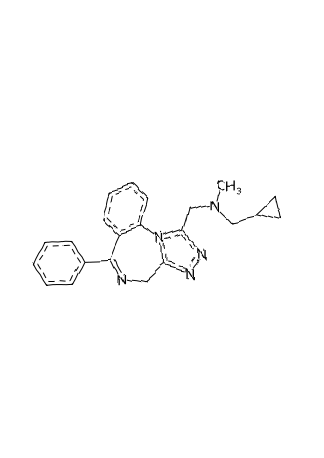 CN(Cc1nnc2n1-c1ccccc1C(c1ccccc1)=NC2)CC1CC1